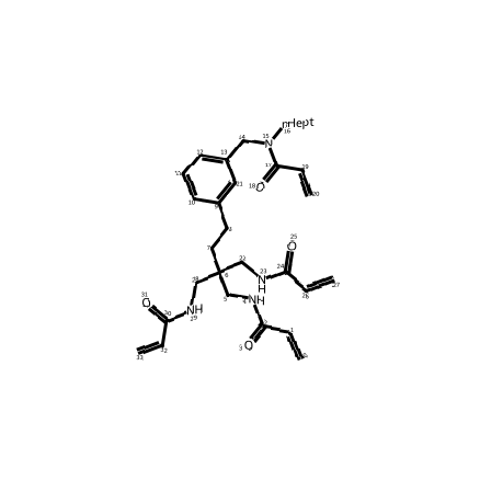 C=CC(=O)NCC(CCc1cccc(CN(CCCCCCC)C(=O)C=C)c1)(CNC(=O)C=C)CNC(=O)C=C